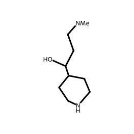 CNCCC(O)C1CCNCC1